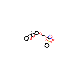 Cc1c(Cc2ccccc2)c(=O)oc2cc(OCCOc3no[n+]([O-])c3S(=O)(=O)c3ccccc3)ccc12